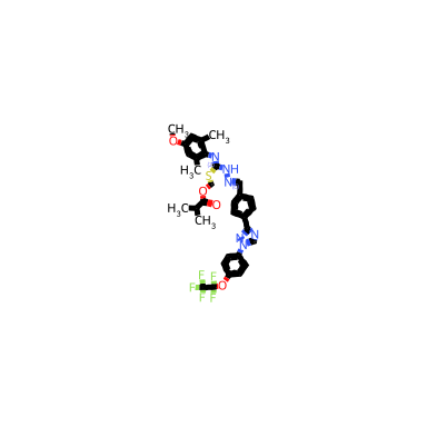 COc1cc(C)c(/N=C(/N/N=C/c2ccc(-c3ncn(-c4ccc(OC(F)(F)C(F)(F)F)cc4)n3)cc2)SCOC(=O)C(C)C)c(C)c1